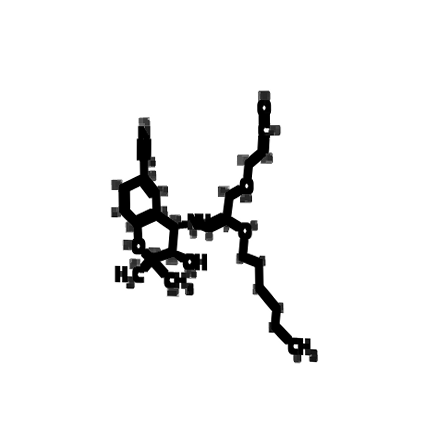 CCCCCCO/C(=C/N[C@H]1c2cc(C#N)ccc2OC(C)(C)[C@@H]1O)COCC=C=O